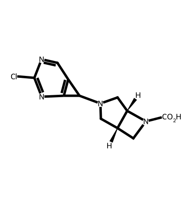 O=C(O)N1C[C@@H]2CN(C3c4cnc(Cl)nc43)C[C@@H]21